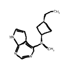 CC[C@H]1C[C@@H](N(C)c2ncnc3[nH]ccc23)C1